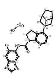 O=C(Nc1cn2ncnc2cc1F)N1CCc2c(N3CC4CCC(C3)N4)ccnc21.O=CO